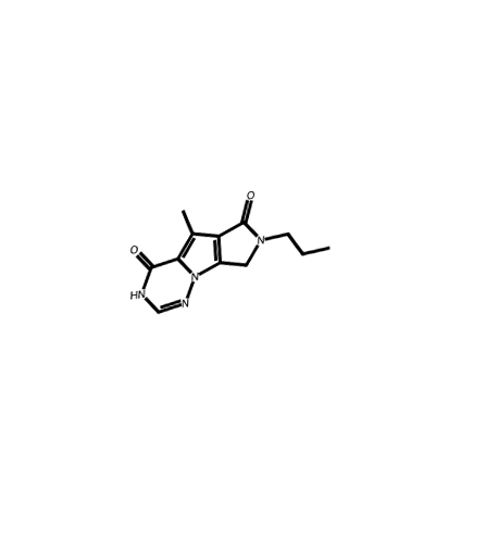 CCCN1Cc2c(c(C)c3c(=O)[nH]cnn23)C1=O